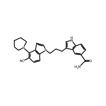 N#Cc1ccc2c(ccn2CCCc2c[nH]c3ccc(C(N)=O)cc23)c1N1CCCCC1